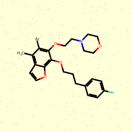 CC(=O)c1c(OCCN2CCOCC2)c(OCCCc2ccc(F)cc2)c2occc2c1C